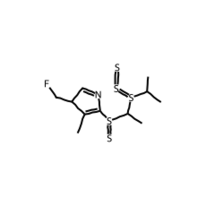 CC1=C(S(=S)C(C)S(=S=S)C(C)C)N=CC1CF